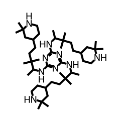 CC(Nc1nc(NC(C)C(C)(C)CCC2CCNC(C)(C)C2)nc(NC(C)C(C)(C)CCC2CCNC(C)(C)C2)n1)C(C)(C)CCC1CCNC(C)(C)C1